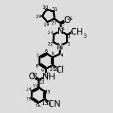 CC1CN(Cc2cccc(NC(=O)c3cccc(C#N)c3)c2Cl)CCN1C(=O)C1CCCC1